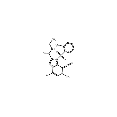 CCNC(=O)c1cc2c(n1S(=O)(=O)c1ccccc1C)C(=C=O)N(C)C=C2Br